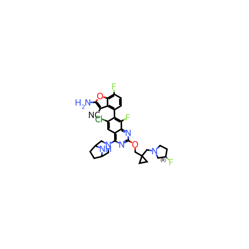 N#Cc1c(N)oc2c(F)ccc(-c3c(Cl)cc4c(N5CC6CCC(C5)N6)nc(OCC5(CN6CC[C@@H](F)C6)CC5)nc4c3F)c12